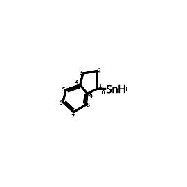 [SnH][CH]1CCc2ccccc21